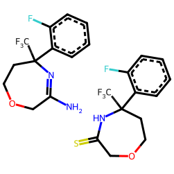 Fc1ccccc1C1(C(F)(F)F)CCOCC(=S)N1.NC1=NC(c2ccccc2F)(C(F)(F)F)CCOC1